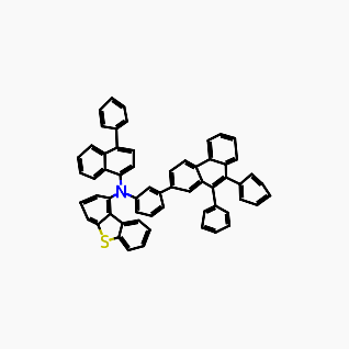 c1ccc(-c2ccc(N(c3cccc(-c4ccc5c(c4)c(-c4ccccc4)c(-c4ccccc4)c4ccccc45)c3)c3cccc4sc5ccccc5c34)c3ccccc23)cc1